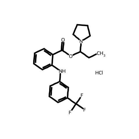 CCC(OC(=O)c1ccccc1Nc1cccc(C(F)(F)F)c1)N1CCCC1.Cl